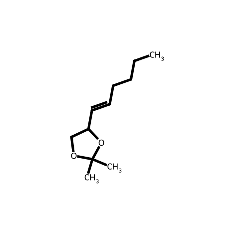 CCCCC=CC1COC(C)(C)O1